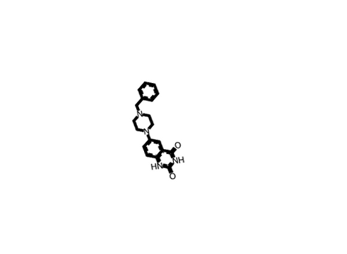 O=c1[nH]c(=O)c2cc(N3CCN(Cc4ccccc4)CC3)ccc2[nH]1